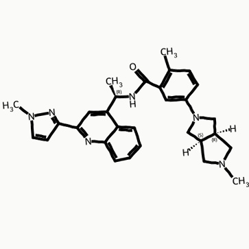 Cc1ccc(N2C[C@H]3CN(C)C[C@H]3C2)cc1C(=O)N[C@H](C)c1cc(-c2ccn(C)n2)nc2ccccc12